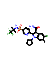 Cc1cc2c(cc1F)c(C(N)=O)c(-c1ccc(S(=O)(=O)NC(C)(C)C(F)(F)F)cn1)n2C1CCCC1